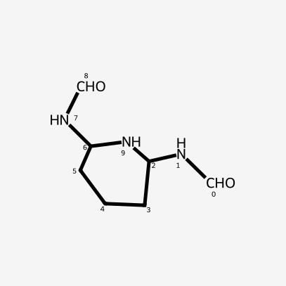 O=CNC1CCCC(NC=O)N1